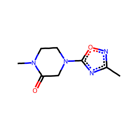 Cc1noc(N2CCN(C)C(=O)C2)n1